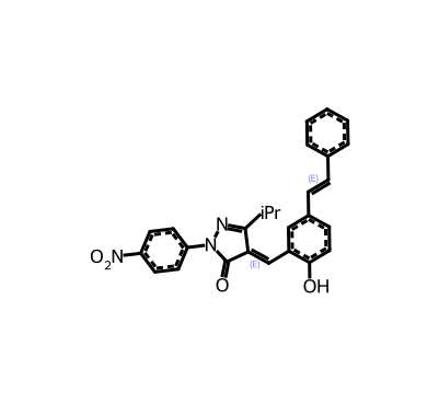 CC(C)C1=NN(c2ccc([N+](=O)[O-])cc2)C(=O)/C1=C/c1cc(/C=C/c2ccccc2)ccc1O